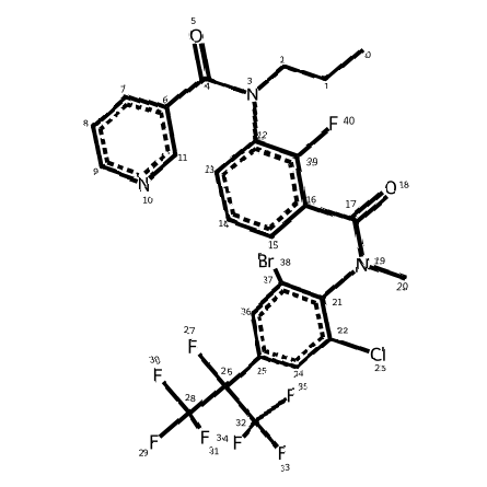 CCCN(C(=O)c1cccnc1)c1cccc(C(=O)N(C)c2c(Cl)cc(C(F)(C(F)(F)F)C(F)(F)F)cc2Br)c1F